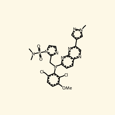 COc1ccc(Cl)c(N(Cc2nccn2S(=O)(=O)N(C)C)c2ccc3ncc(-c4cnn(C)c4)nc3n2)c1Cl